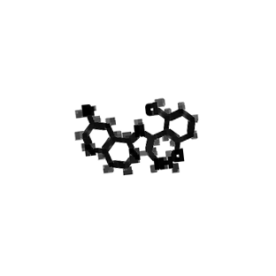 Nc1c(-c2c(Cl)cccc2Cl)nc2c3cc(Br)cnc3ccn12